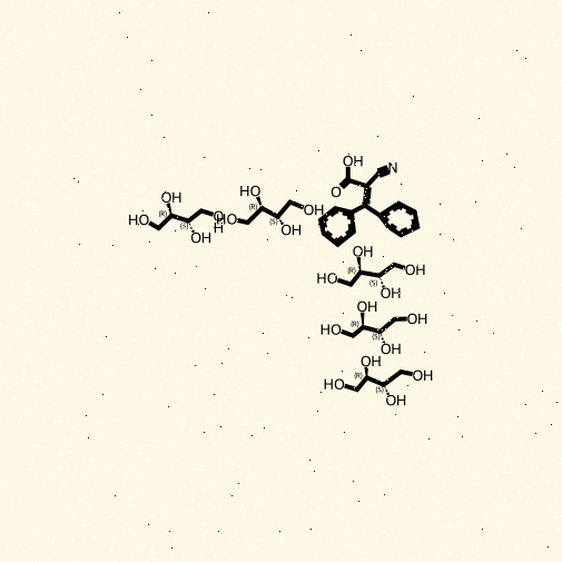 N#CC(C(=O)O)=C(c1ccccc1)c1ccccc1.OC[C@@H](O)[C@@H](O)CO.OC[C@@H](O)[C@@H](O)CO.OC[C@@H](O)[C@@H](O)CO.OC[C@@H](O)[C@@H](O)CO.OC[C@@H](O)[C@@H](O)CO